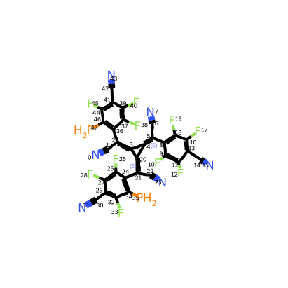 N#CC(=C1C(=C(\C#N)c2c(F)c(F)c(C#N)c(F)c2F)/C1=C(\C#N)c1c(F)c(F)c(C#N)c(F)c1P)c1c(F)c(F)c(C#N)c(F)c1P